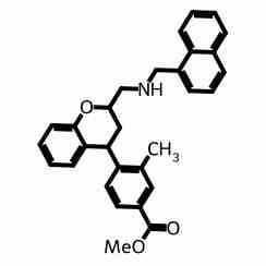 COC(=O)c1ccc(C2CC(CNCc3cccc4ccccc34)Oc3ccccc32)c(C)c1